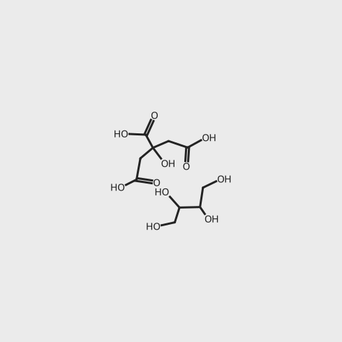 O=C(O)CC(O)(CC(=O)O)C(=O)O.OCC(O)C(O)CO